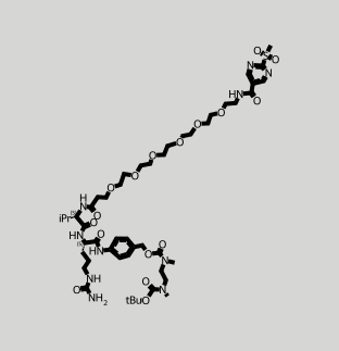 CC(C)[C@H](NC(=O)CCOCCOCCOCCOCCOCCOCCNC(=O)c1cnc(S(C)(=O)=O)nc1)C(=O)N[C@@H](CCCNC(N)=O)C(=O)Nc1ccc(COC(=O)N(C)CCN(C)C(=O)OC(C)(C)C)cc1